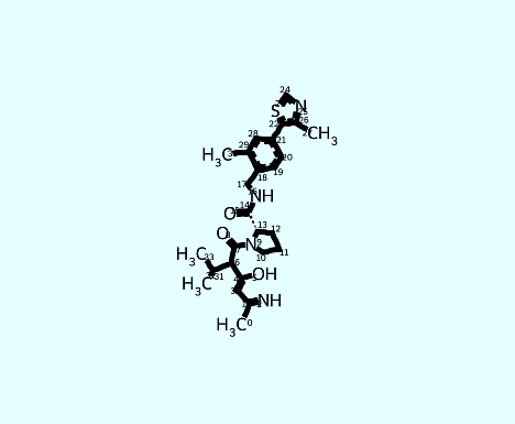 CC(=N)/C=C(\O)C(C(=O)N1CCC[C@H]1C(=O)NCc1ccc(-c2scnc2C)cc1C)C(C)C